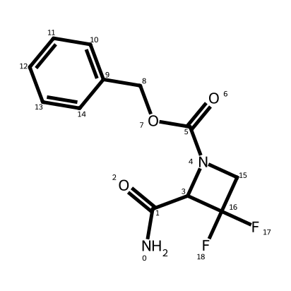 NC(=O)C1N(C(=O)OCc2ccccc2)CC1(F)F